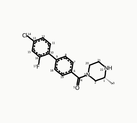 C[C@@H]1CN(C(=O)c2ccc(-c3ccc(Cl)cc3F)cc2)CCN1